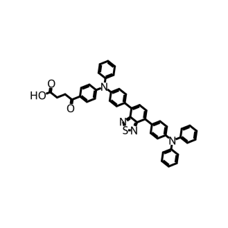 O=C(O)CCC(=O)c1ccc(N(c2ccccc2)c2ccc(-c3ccc(-c4ccc(N(c5ccccc5)c5ccccc5)cc4)c4nsnc34)cc2)cc1